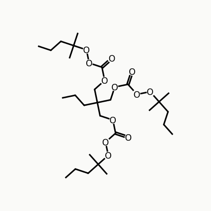 CCCC(COC(=O)OOC(C)(C)CCC)(COC(=O)OOC(C)(C)CCC)COC(=O)OOC(C)(C)CCC